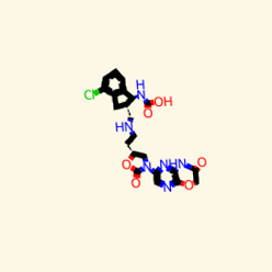 O=C(O)N[C@@H]1c2cccc(Cl)c2C[C@H]1CNCC[C@@H]1CN(c2cnc3c(n2)NC(=O)CO3)C(=O)O1